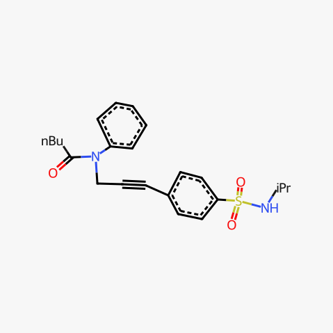 CCCCC(=O)N(CC#Cc1ccc(S(=O)(=O)NC(C)C)cc1)c1ccccc1